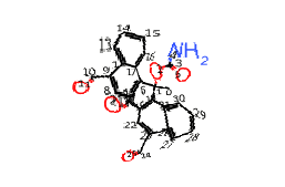 CC(OC(N)=O)(c1ccc(C=O)c2ccccc12)c1c(C=O)cc(C=O)c2ccccc12